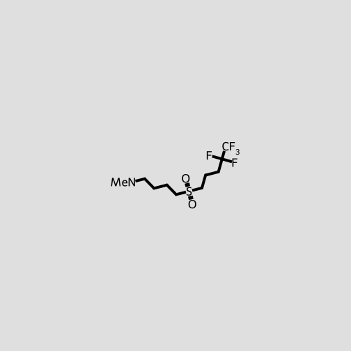 CNCCCCS(=O)(=O)CCCC(F)(F)C(F)(F)F